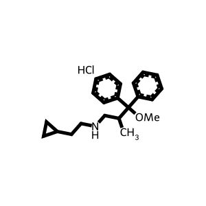 COC(c1ccccc1)(c1ccccc1)C(C)CNCCC1CC1.Cl